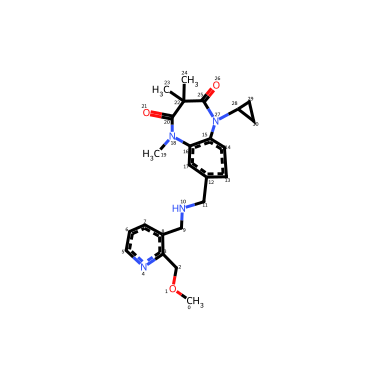 COCc1ncccc1CNCc1ccc2c(c1)N(C)C(=O)C(C)(C)C(=O)N2C1CC1